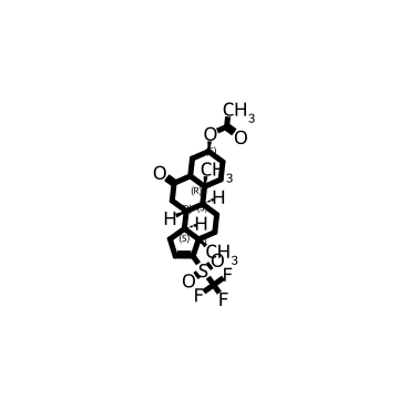 CC(=O)O[C@H]1CC[C@@]2(C)C(C1)C(=O)C[C@@H]1[C@@H]2CC[C@]2(C)C(S(=O)(=O)C(F)(F)F)=CC[C@@H]12